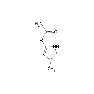 Cc1c[nH]c(OC(N)=O)c1